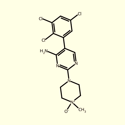 C[N+]1([O-])CCN(c2ncc(-c3cc(Cl)cc(Cl)c3Cl)c(N)n2)CC1